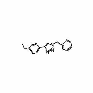 CCc1ccc(-c2cn(Cc3ccccc3)nn2)cc1